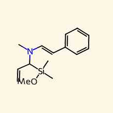 C=CC(N(C)C=Cc1ccccc1)[Si](C)(C)OC